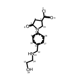 O=C(Cl)C1CC(=O)N(c2ccc(CNCCO)cc2)C1